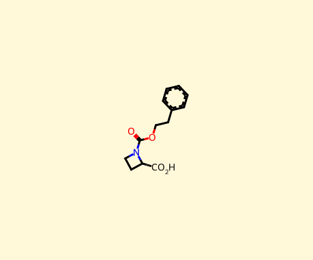 O=C(O)C1CCN1C(=O)OCCc1ccccc1